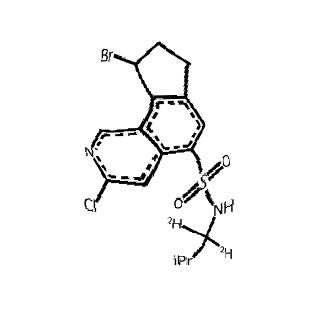 [2H]C([2H])(NS(=O)(=O)c1cc2c(c3cnc(Cl)cc13)C(Br)CC2)C(C)C